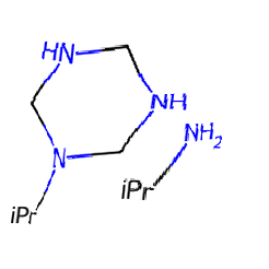 CC(C)N.CC(C)N1CNCNC1